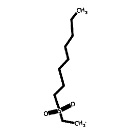 [CH2]CS(=O)(=O)CCCCCCCC